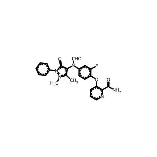 Cc1c(N(C=O)c2ccc(Oc3cccnc3C(N)=O)c(F)c2)c(=O)n(-c2ccccc2)n1C